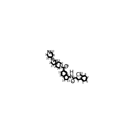 O=C(/C=C/c1ccccc1Cl)NC1CCc2ccc(C(=O)N3CCC4(CC3)CCN(c3ccncc3)C4)cc21